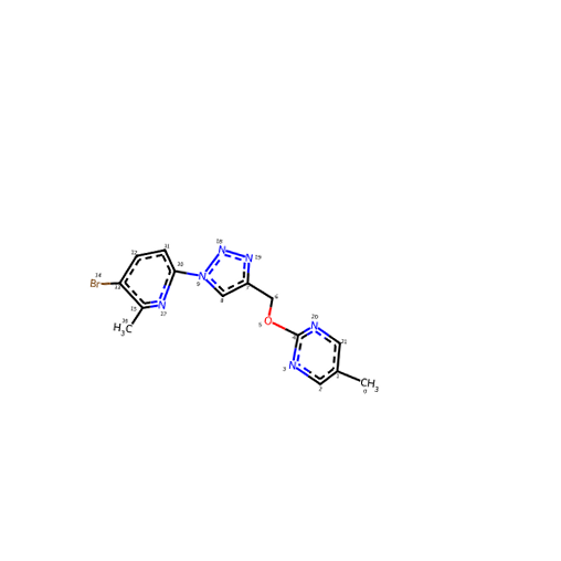 Cc1cnc(OCc2cn(-c3ccc(Br)c(C)n3)nn2)nc1